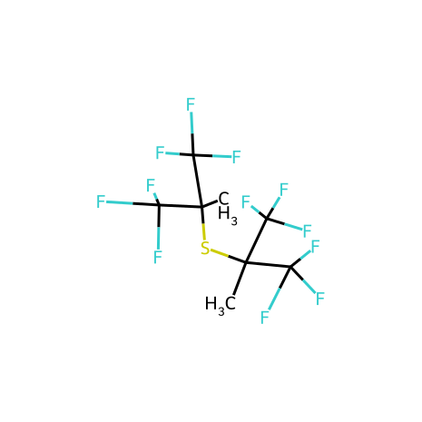 CC(SC(C)(C(F)(F)F)C(F)(F)F)(C(F)(F)F)C(F)(F)F